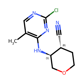 Cc1cnc(Cl)nc1N[C@@H]1COCC[C@H]1C#N